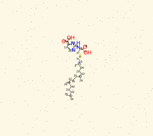 C/C(=C\CSCC(Nc1nccc(C(=O)O)n1)C(=O)O)CCCC(C)CCCC(C)CCCC(C)C